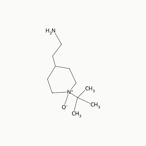 CC(C)(C)[N+]1([O-])CCC(CCN)CC1